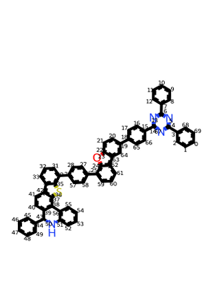 c1ccc(-c2nc(-c3ccccc3)nc(-c3ccc(-c4ccc5oc6c(-c7ccc(-c8cccc9c8sc8c%10c(ccc89)C(c8ccccc8)Nc8ccccc8-%10)cc7)cccc6c5c4)cc3)n2)cc1